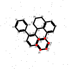 c1ccc(-c2cccc3c2C(c2c(-c4ccccc4)ccc4c2CCCC4)CCC3)cc1